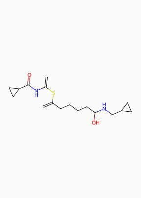 C=C(CCCCC(O)NCC1CC1)SC(=C)NC(=O)C1CC1